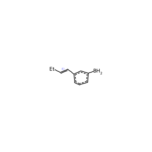 Bc1cccc(/C=C/CC)c1